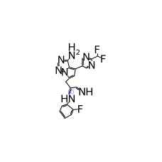 N=C/C(=C\Nc1ccccc1F)Cc1cc(-c2cnc(C(F)F)nc2)c2c(N)ncnn12